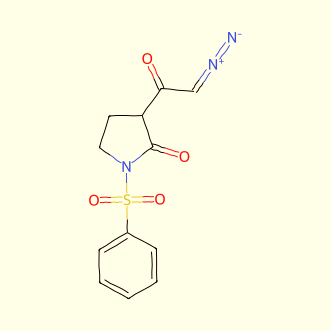 [N-]=[N+]=CC(=O)C1CCN(S(=O)(=O)c2ccccc2)C1=O